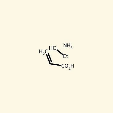 C=CC(=O)O.CCO.N